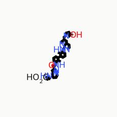 Cc1c(NC(=O)c2cc3c(NC(C)(C)C(=O)O)cccn3n2)cccc1-c1cccc(Nc2nccc3cc(CN4CC[C@@H](O)C4)cnc23)c1C